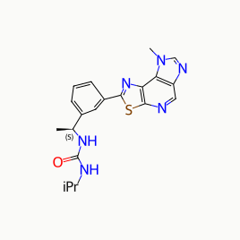 CC(C)NC(=O)N[C@@H](C)c1cccc(-c2nc3c(ncc4ncn(C)c43)s2)c1